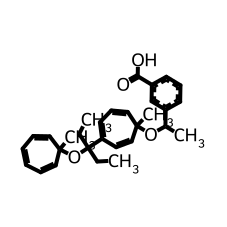 CCC(CC)(OC1(C)C=CC=CC=C1)C1=CC=CC(C)(OC(C)c2cccc(C(=O)O)c2)C=C1